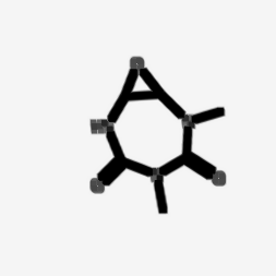 CN1C(=O)NC2OC2N(C)C1=O